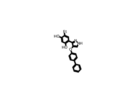 CCc1cc(-c2n[nH]cc2Oc2ccc(-c3ccccc3)cc2)c(O)cc1O